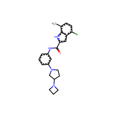 Cc1ccc(F)c2cc(C(=O)Nc3cccc(N4CCC(N5CCC5)C4)c3)[nH]c12